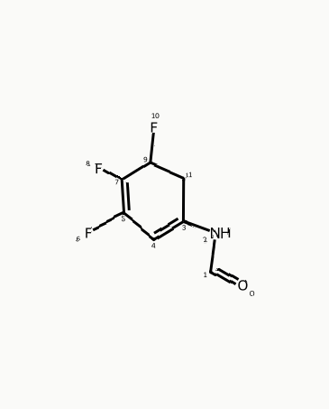 O=CNC1=CC(F)=C(F)C(F)C1